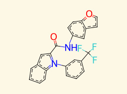 O=C(Nc1ccc2occc2c1)c1cc2ccccc2n1-c1cccc(C(F)(F)F)c1